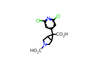 O=C(O)N1CC2C(C1)C2(C(=O)O)c1cc(Cl)nc(Cl)c1